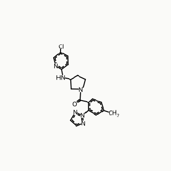 Cc1ccc(C(=O)N2CCCC(Nc3ccc(Cl)cn3)C2)c(-n2nccn2)c1